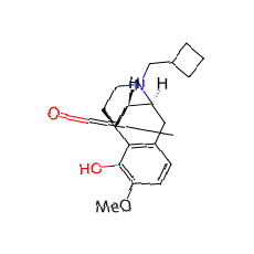 COc1ccc2c(c1O)[C@@]13CCN(CC4CCC4)[C@@H](C2)[C@H]1CCC(=O)C3